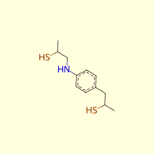 CC(S)CNc1ccc(CC(C)S)cc1